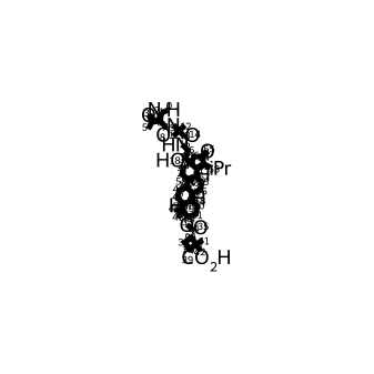 Cc1noc(C)c1C(=O)NC(C)(C)C(=O)NC[C@H](O)[C@@]12CC[C@]3(C)[C@H](CC[C@@H]4[C@@]5(C)CC[C@H](OC(=O)[C@H]6C[C@@H](C(=O)O)C6(C)C)C(C)(C)[C@@H]5CC[C@]43C)C1=C(C(C)C)C(=O)C2